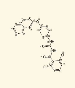 O=C(NC(=O)c1c(Cl)cccc1Cl)Nc1ccc(Oc2ccc3ccccc3n2)cc1